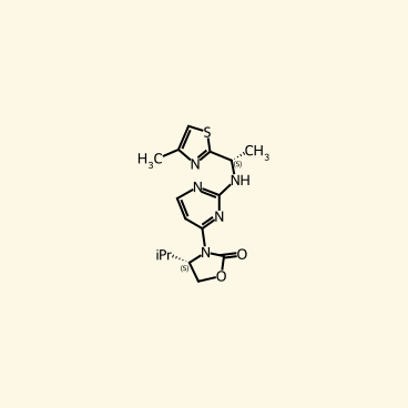 Cc1csc([C@H](C)Nc2nccc(N3C(=O)OC[C@@H]3C(C)C)n2)n1